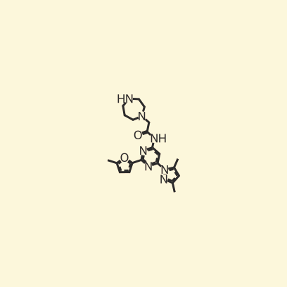 Cc1cc(C)n(-c2cc(NC(=O)CN3CCCNCC3)nc(-c3ccc(C)o3)n2)n1